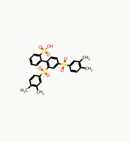 Cc1ccc(S(=O)(=O)c2ccc(-c3ccccc3S(=O)(=O)O)c(S(=O)(=O)c3ccc(C)c(C)c3)c2)cc1C